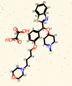 CN1CCC(OC(c2cccc(OCCCCN3CCOCC3)c2)c2nc3ccccc3s2)CC1.O=C(O)C(=O)O